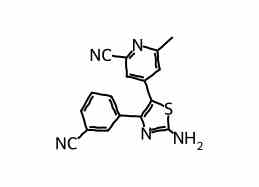 Cc1cc(-c2sc(N)nc2-c2cccc(C#N)c2)cc(C#N)n1